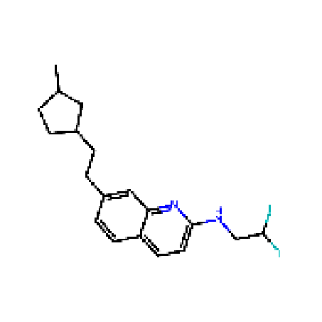 CC1CCC(CCc2ccc3ccc(NCC(F)F)nc3c2)C1